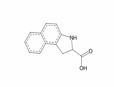 O=C(O)C1Cc2c(ccc3ccccc23)N1